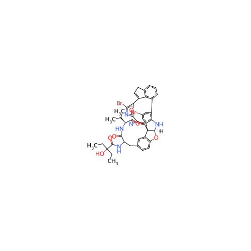 CCC(O)(CC)C(=O)NC1Cc2ccc3c(c2)C24c5cc(Br)cc(c5N[C@H]2O3)-c2cccc3c2C(=CC3)c2oc(nc2Br)-c2nc(oc24)[C@H](C(C)C)NC1=O